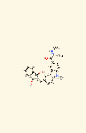 CCCC/C(=N\OC(C)=O)C(=O)c1ccc2c(c1)c1cc(C=C3C(=O)c4ccccc4C3=O)ccc1n2CC